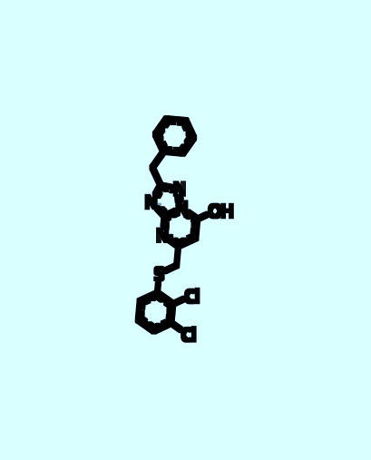 Oc1cc(CSc2cccc(Cl)c2Cl)nc2nc(Cc3ccccc3)nn12